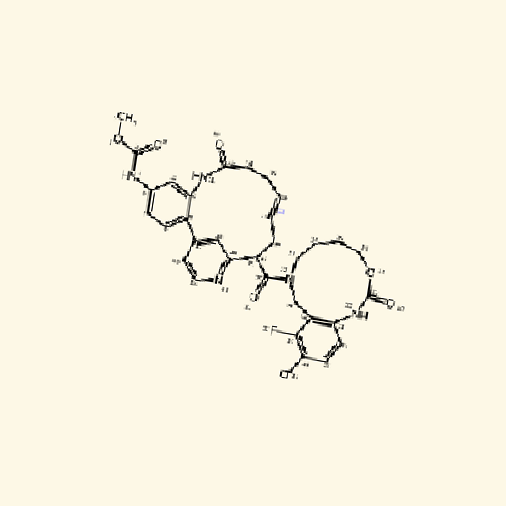 COC(=O)Nc1ccc2c(c1)NC(=O)CC/C=C/C[C@@H](C(=O)N1CCCCOC(=O)Nc3ccc(Cl)c(F)c3C1)c1cc-2ccn1